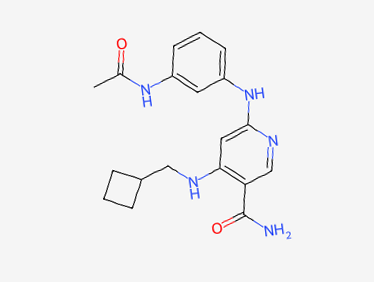 CC(=O)Nc1cccc(Nc2cc(NCC3CCC3)c(C(N)=O)cn2)c1